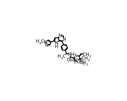 C/C=C(\S/C(=C/C)C(C)(C)C)C(=O)NC(C)c1ccc(-c2ncnc3cc(-c4cnn(C)c4)[nH]c23)cc1